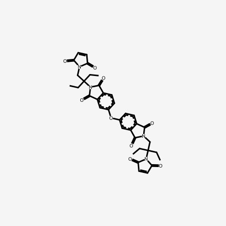 CCC(CC)(CN1C(=O)c2ccc(Oc3ccc4c(c3)C(=O)N(C(CC)(CC)CN3C(=O)C=CC3=O)C4=O)cc2C1=O)N1C(=O)C=CC1=O